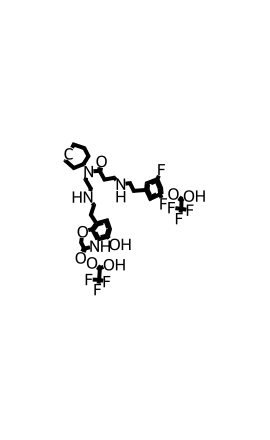 O=C(O)C(F)(F)F.O=C(O)C(F)(F)F.O=C1COc2c(CCNCCN(C(=O)CCNCCc3cc(F)cc(F)c3)C3CCCCCC3)ccc(O)c2N1